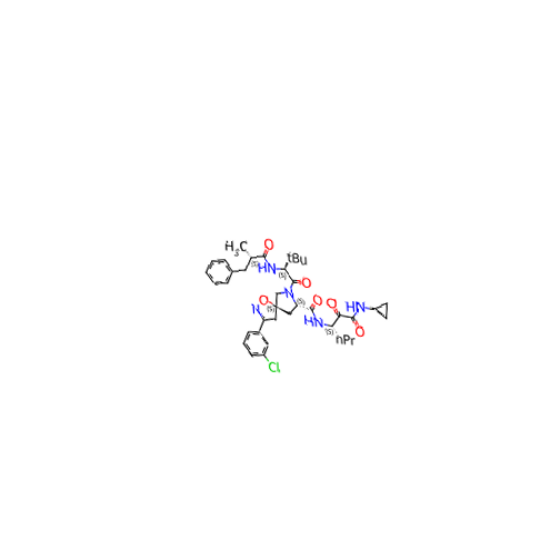 CCC[C@H](NC(=O)[C@@H]1C[C@]2(CC(c3cccc(Cl)c3)=NO2)CN1C(=O)[C@@H](NC(=O)[C@@H](C)Cc1ccccc1)C(C)(C)C)C(=O)C(=O)NC1CC1